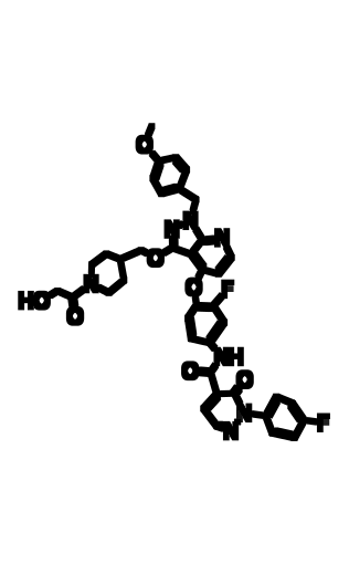 COc1ccc(Cn2nc(OCC3CCN(C(=O)CO)CC3)c3c(Oc4ccc(NC(=O)c5ccnn(-c6ccc(F)cc6)c5=O)cc4F)ccnc32)cc1